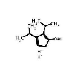 CC(C)C1=CC[C]([Mo])=C1C(C)C.[H-].[H-]